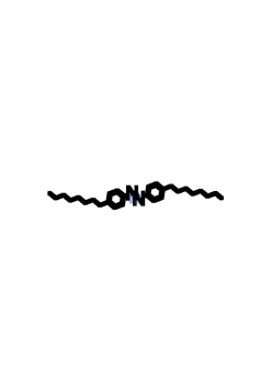 CCCCCCCCc1ccc(/N=N/c2ccc(CCCCCCCC)cc2)cc1